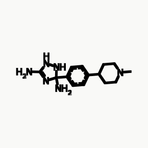 CN1CCC(c2ccc(C3(N)N=C(N)NN3)cc2)CC1